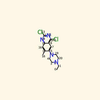 CCN1CCN(c2cc3c(Cl)nc(Cl)nc3cc2C)CC1